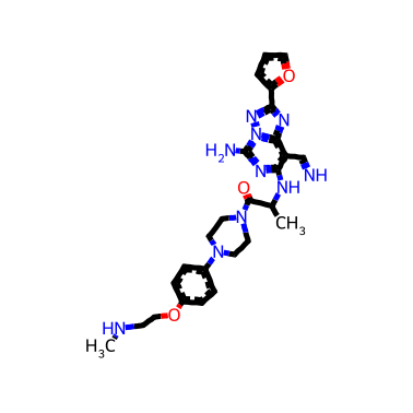 CNCCOc1ccc(N2CCN(C(=O)C(C)Nc3nc(N)n4nc(-c5ccco5)nc4c3C=N)CC2)cc1